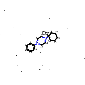 CCC1(N2CCN(c3ccccc3)CC2)CCCCC1